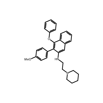 COc1ccc(-c2c(NCCN3CCCCC3)cc3ccccc3c2Oc2ccccc2)cc1